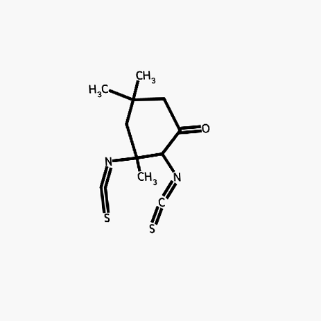 CC1(C)CC(=O)C(N=C=S)C(C)(N=C=S)C1